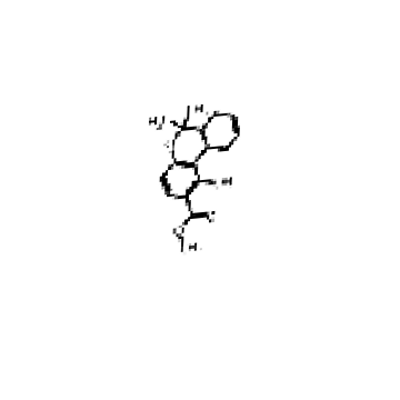 COC(=O)c1ccc2c(c1O)C1CC=CCC1C(C)(C)O2